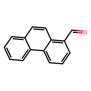 O=Cc1c[c]cc2c1ccc1ccccc12